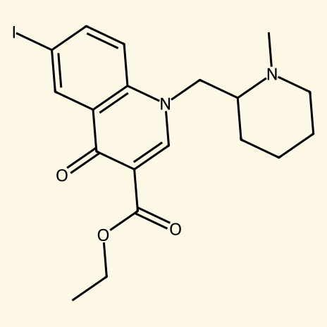 CCOC(=O)c1cn(CC2CCCCN2C)c2ccc(I)cc2c1=O